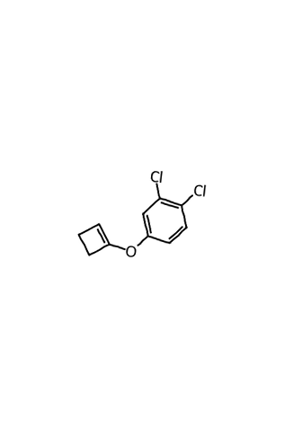 Clc1ccc(OC2=CCC2)cc1Cl